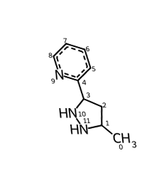 CC1CC(c2ccccn2)NN1